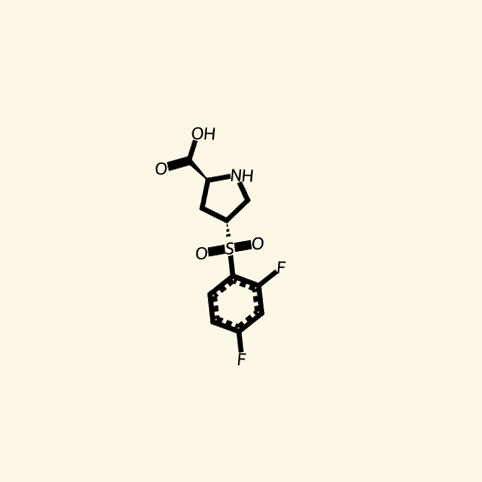 O=C(O)[C@@H]1C[C@@H](S(=O)(=O)c2ccc(F)cc2F)CN1